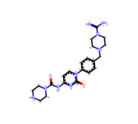 N=C(N)N1CCN(Cc2ccc(-n3ccc(NC(=O)N4CCNCC4)nc3=O)cc2)CC1